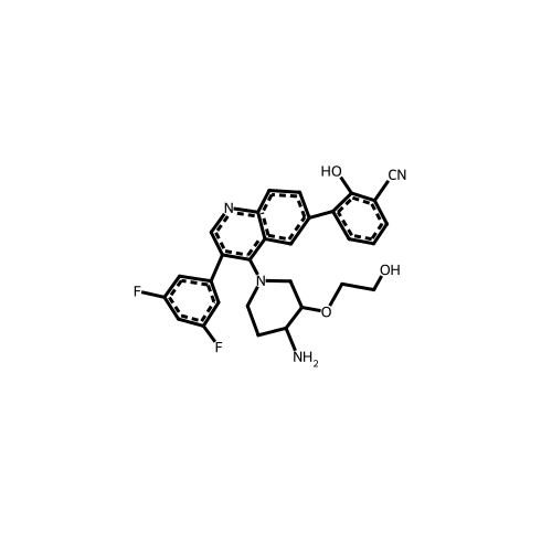 N#Cc1cccc(-c2ccc3ncc(-c4cc(F)cc(F)c4)c(N4CCC(N)C(OCCO)C4)c3c2)c1O